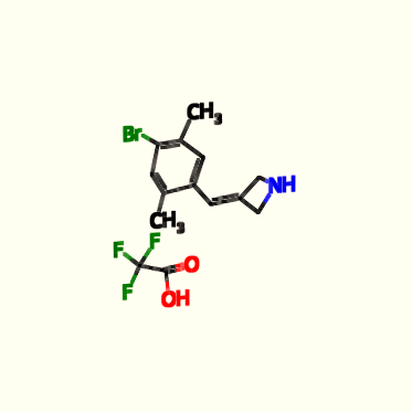 Cc1cc(C=C2CNC2)c(C)cc1Br.O=C(O)C(F)(F)F